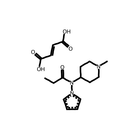 CCC(=O)N(C1CCN(C)CC1)n1cccc1.O=C(O)C=CC(=O)O